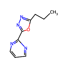 CCCc1nnc(-c2ncccn2)o1